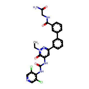 CCn1nc(-c2cccc(-c3cccc(C(=O)NCC(N)=O)c3)c2)cc(NC(=O)Nc2c(Cl)cncc2Cl)c1=O